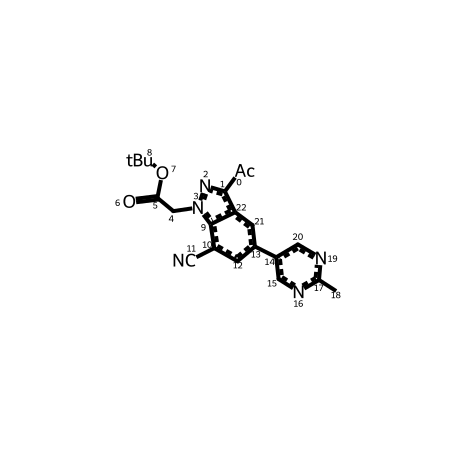 CC(=O)c1nn(CC(=O)OC(C)(C)C)c2c(C#N)cc(-c3cnc(C)nc3)cc12